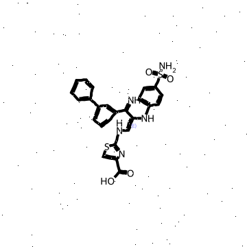 N=C(/C(=C\Nc1nc(C(=O)O)cs1)Nc1ccc(S(N)(=O)=O)cc1)c1cccc(-c2ccccc2)c1